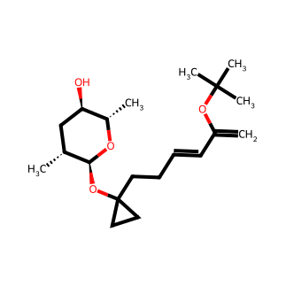 C=C(/C=C/CCC1(O[C@@H]2O[C@@H](C)[C@H](O)C[C@H]2C)CC1)OC(C)(C)C